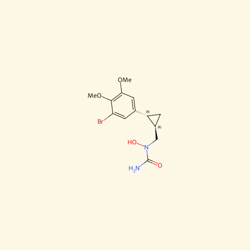 COc1cc([C@@H]2C[C@H]2CN(O)C(N)=O)cc(Br)c1OC